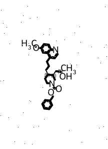 COc1ccc2nccc(CCC[C@@H]3CCN(C(=O)OCc4ccccc4)C[C@@H]3C[C@@H](C)O)c2c1